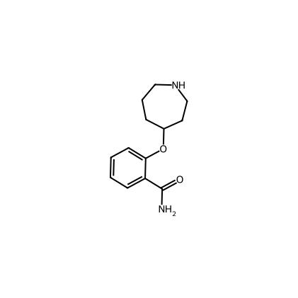 NC(=O)c1ccccc1OC1CCCNCC1